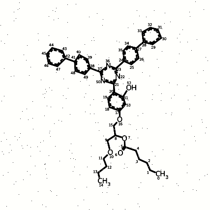 CCCCCC(=O)OC(COCCCC)COc1ccc(-c2nc(-c3ccc(-c4ccccc4)cc3)nc(-c3ccc(-c4ccccc4)cc3)n2)c(O)c1